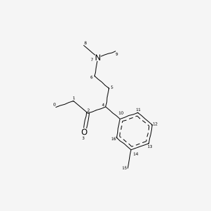 CCC(=O)C(CCN(C)C)c1cccc(C)c1